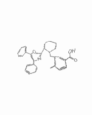 Cc1ccc(C(=O)O)cc1CC1CCCC=C1c1nc(-c2ccccc2)c(-c2ccccc2)o1